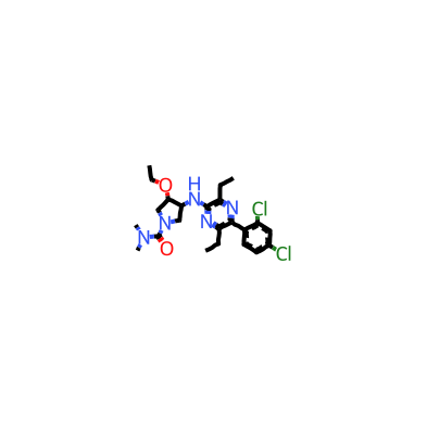 CCOC1CN(C(=O)N(C)C)CC1Nc1nc(CC)c(-c2ccc(Cl)cc2Cl)nc1CC